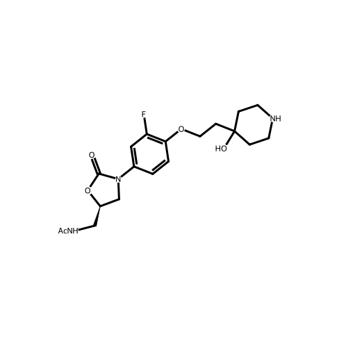 CC(=O)NC[C@@H]1CN(c2ccc(OCCC3(O)CCNCC3)c(F)c2)C(=O)O1